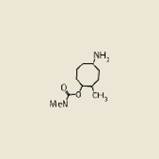 CNC(=O)OC1CCCC(N)CCC1C